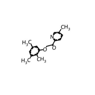 Cc1ccc(C(=O)COc2cc(C)cc(C)c2C)nc1